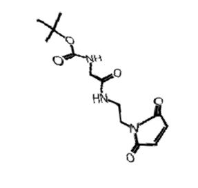 CC(C)(C)OC(=O)NCC(=O)NCCN1C(=O)C=CC1=O